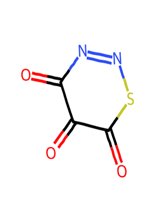 O=C1N=NSC(=O)C1=O